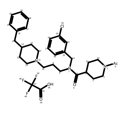 CC(=O)N1CCC(C(=O)N(CCCN2CCC(Cc3ccccc3)CC2)Cc2cccc(Cl)c2)CC1.O=C(O)C(F)(F)F